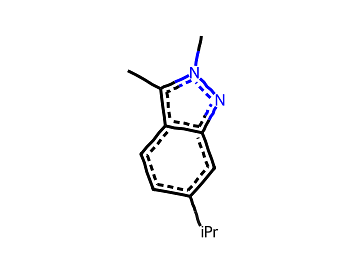 Cc1c2ccc(C(C)C)cc2nn1C